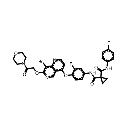 O=C(COc1ncc2c(Oc3ccc(NC(=O)C4(C(=O)Nc5ccc(F)cc5)CC4)cc3F)ccnc2c1Br)N1CCOCC1